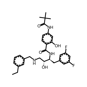 CCc1cccc(CNC[C@@H](O)[C@H](Cc2cc(F)cc(F)c2)NC(=O)c2ccc(NC(=O)C(C)(C)C)cc2O)c1